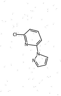 Clc1cccc(-n2cccn2)n1